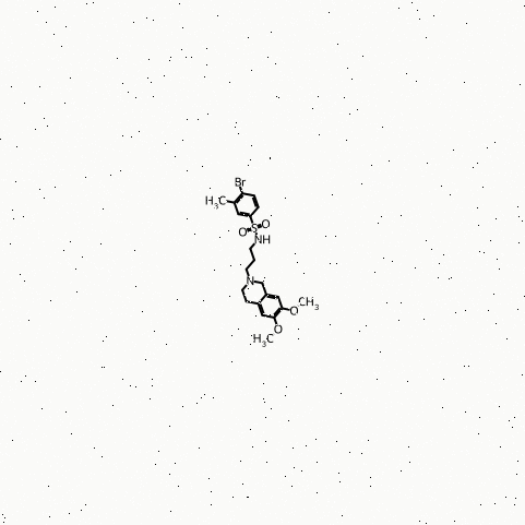 COc1cc2c(cc1OC)CN(CCCNS(=O)(=O)c1ccc(Br)c(C)c1)CC2